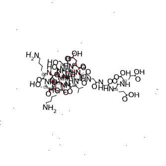 CC(C)C[C@H](NC(=O)[C@H](CCCCN)NC(=O)[C@H](CO)NC(=O)[C@H](CCCCN)NC(=O)[C@@H](N)CC(C)C)C(=O)NCC(=O)N[C@@H](CC(=O)O)C(=O)N[C@H](C(=O)N[C@H](C(=O)N[C@H](C(=O)N[C@H](C(=O)N[C@@H](CO)C(=O)N[C@@H](CC(C)C)C(=O)N1CCC[C@H]1C(=O)NCC(=O)NCC(=O)N[C@@H](CCC(=O)O)C(=O)N[C@@H](CCC(=O)O)C(=O)O)C(C)C)[C@@H](C)O)C(C)C)C(C)C